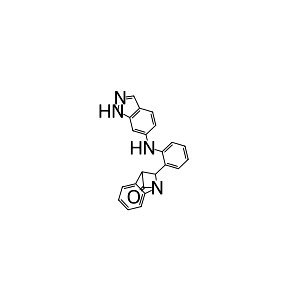 O=C1C2c3ccccc3N1C2c1ccccc1Nc1ccc2cn[nH]c2c1